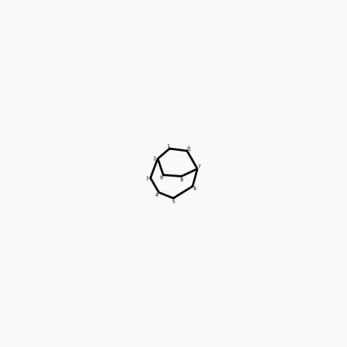 [CH]1CC2CCCCC1CC2